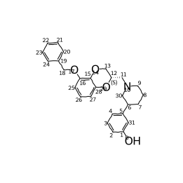 Oc1cccc(C2CCCN(C[C@H]3COc4c(OCc5ccccc5)cccc4O3)C2)c1